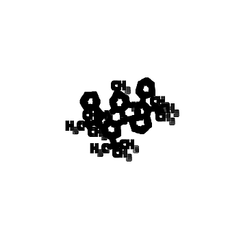 Cc1cc2c3c(c1)-n1c(-c4ccccc4)c(C(C)(C)C)c4cc(C(C)(C)C)cc(c41)B3c1cccc3c(C(C)(C)C)c(-c4ccccc4)n-2c13